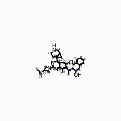 C/C(=C\C(O)=C/c1ccccc1C)c1c(Cl)cc2c(C34CCNCC3C4)nc(N3CC(N(C)C)C3)nc2c1F